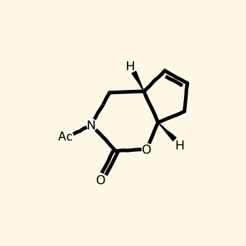 CC(=O)N1C[C@@H]2C=CC[C@@H]2OC1=O